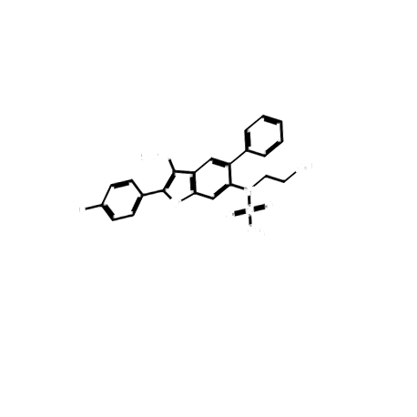 CCOC(=O)c1c(-c2ccc(F)cc2)oc2cc(N(CCO)S(C)(=O)=O)c(-c3ccccc3)cc12